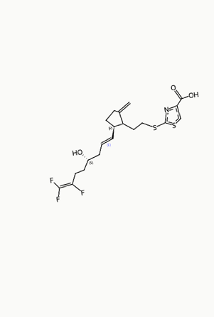 C=C1CC[C@H](/C=C/C[C@@H](O)CCC(F)=C(F)F)C1CCSc1nc(C(=O)O)cs1